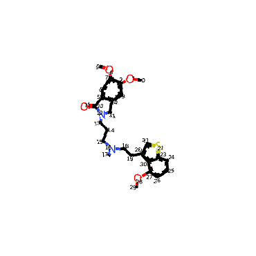 COc1cc2c(cc1OC)C(=O)N(CCCN(C)CCc1csc3cccc(OC)c13)C2